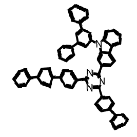 c1ccc(-c2ccc(-c3ccc(-c4nc(-c5ccc(-c6ccccc6)cc5)nc(-c5ccc6c7ccccc7n(-c7cc(-c8ccccc8)cc(-c8ccccc8)c7)c6c5)n4)cc3)cc2)cc1